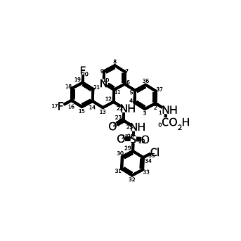 O=C(O)Nc1ccc(-c2cccnc2C(Cc2cc(F)cc(F)c2)NC(=O)NS(=O)(=O)c2ccccc2Cl)cc1